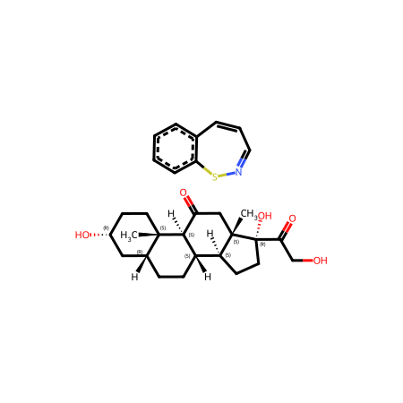 C1=Cc2ccccc2SN=C1.C[C@]12CC[C@@H](O)C[C@H]1CC[C@@H]1[C@@H]2C(=O)C[C@@]2(C)[C@H]1CC[C@]2(O)C(=O)CO